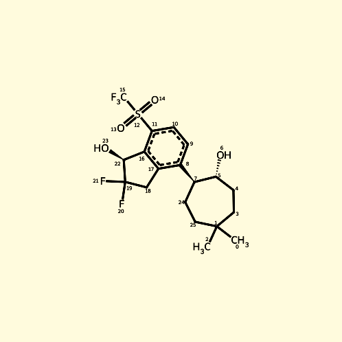 CC1(C)CC[C@@H](O)[C@H](c2ccc(S(=O)(=O)C(F)(F)F)c3c2CC(F)(F)[C@H]3O)CC1